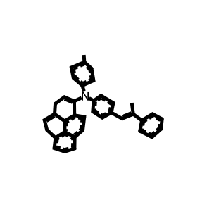 C/C(=C\c1ccc(N(C2=CCC3=CCc4cccc5ccc2c3c45)c2ccc(C)cc2)cc1)c1ccccc1